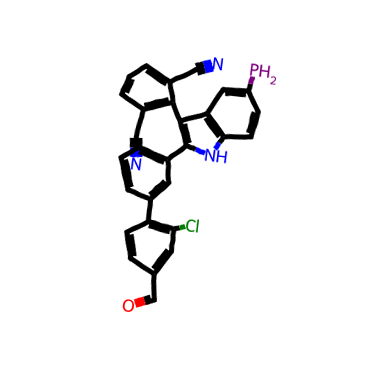 N#Cc1cccc(C#N)c1-c1c(-c2cccc(-c3ccc(C=O)cc3Cl)c2)[nH]c2ccc(P)cc12